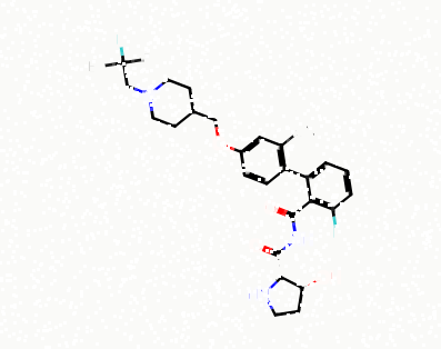 CCC(F)(CC)CN1CCC(COc2ccc(-c3cccc(F)c3C(=O)NC(=O)[C@H]3NCC[C@@H]3O)c(C#N)c2)CC1